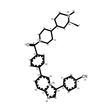 C[C@H]1CC(C2CCN(C(=O)c3ccc(-c4ccc5ncc(-c6ccc(C#N)cc6)n5c4)cc3)CC2)CCN1C